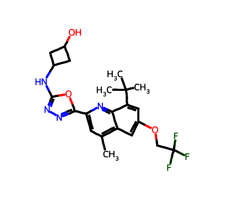 Cc1cc(-c2nnc(NC3CC(O)C3)o2)nc2c(C(C)(C)C)cc(OCC(F)(F)F)cc12